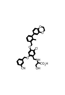 Cc1c(COc2cc(OCc3cccc(C#N)c3)c(CNC(CO)C(=O)O)cc2Cl)cccc1-c1ccc2c(c1)OCCO2